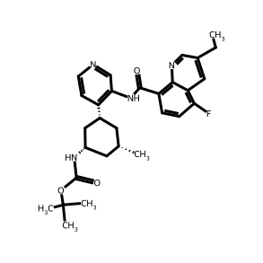 CCc1cnc2c(C(=O)Nc3cnccc3[C@@H]3C[C@H](C)C[C@H](NC(=O)OC(C)(C)C)C3)ccc(F)c2c1